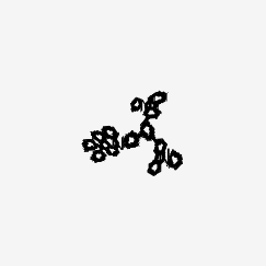 c1ccc(N(c2ccc(-c3cc(-c4ccc5c(c4)c4ccccc4n5-c4ccccc4)cc(-c4ccc5c6ccccc6n(-c6ccccc6)c5c4)c3)cc2)c2cccc3c2-c2ccccc2C3(c2ccccc2)c2ccccc2)cc1